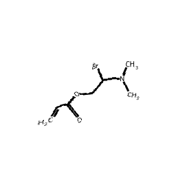 C=CC(=O)OCC(Br)N(C)C